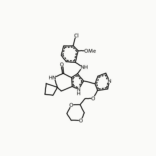 COc1c(Cl)cccc1Nc1c(-c2ccncc2OCC2COCCO2)[nH]c2c1C(=O)NC1(CCC1)C2